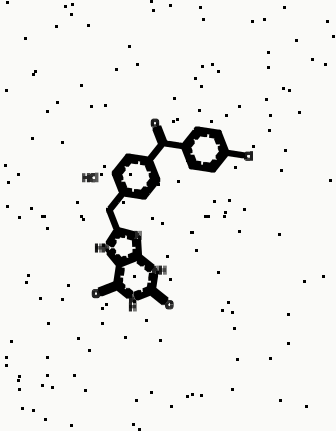 Cl.O=C(c1ccc(Cl)cc1)c1ccc(Cc2nc3[nH]c(=O)[nH]c(=O)c3[nH]2)cc1